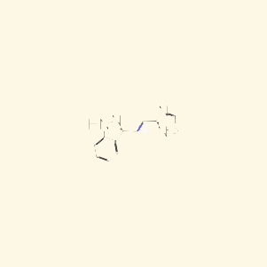 C(=C\c1n[nH]c2ccccc12)/c1ncsn1